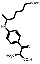 CCCCCCCCCCCCCCC(C)Nc1ccc(C(=O)C(C(=O)O)C(=O)O)cc1